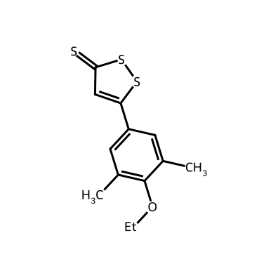 CCOc1c(C)cc(-c2cc(=S)ss2)cc1C